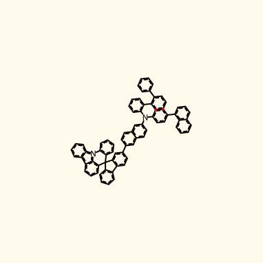 c1ccc(-c2ccccc2-c2ccccc2N(c2ccc(-c3cccc4ccccc34)cc2)c2ccc3cc(-c4ccc5c(c4)C4(c6ccccc6-5)c5ccccc5-n5c6ccccc6c6cccc4c65)ccc3c2)cc1